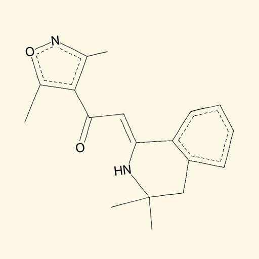 Cc1noc(C)c1C(=O)C=C1NC(C)(C)Cc2ccccc21